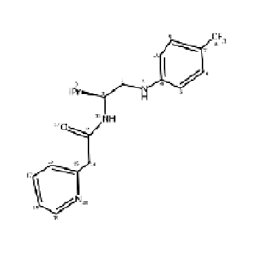 CC(C)[C@@H](CNc1ccc(C(F)(F)F)cc1)NC(=O)Cc1ccccn1